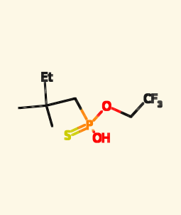 CCC(C)(C)CP(O)(=S)OCC(F)(F)F